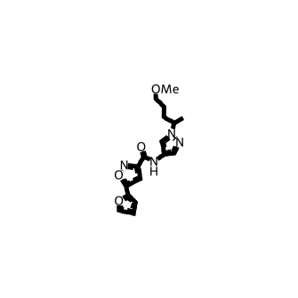 COCCCC(C)n1cc(NC(=O)c2cc(-c3ccco3)on2)cn1